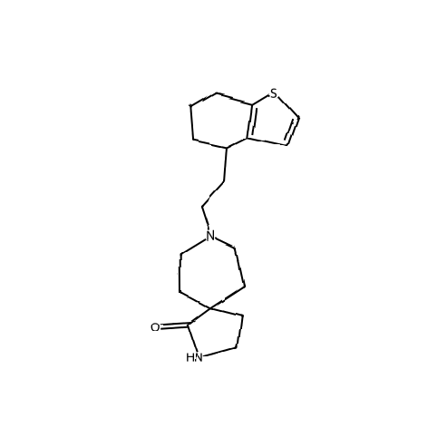 O=C1NCCC12CCN(CCC1CCCc3sccc31)CC2